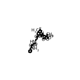 CC[C@@]1(O)C(=O)OCc2c1cc1n(c2=O)Cc2c-1nc1cc(F)c(C)c3c1c2[C@@H](NC(=O)CCCNC(=O)CNC(=O)[C@@H](N)Cc1ccccc1)CC3